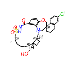 C[C@H]1CCC[C@@H](CO)[C@@H]2CC[C@H]2CN2C[C@@]3(CCCc4cc(Cl)ccc43)COc3ccc(cc32)C(=O)NS(=O)(=O)C1